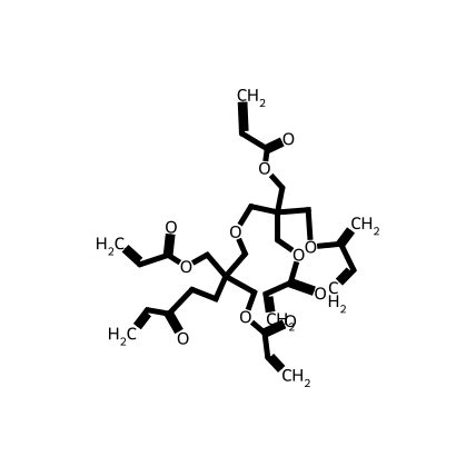 C=CC(=C)OCC(COCC(CCC(=O)C=C)(COC(=O)C=C)COC(=O)C=C)(COC(=O)C=C)COC(=O)C=C